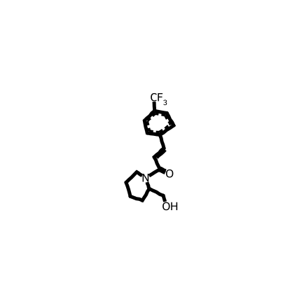 O=C(/C=C/c1ccc(C(F)(F)F)cc1)N1CCCCC1CO